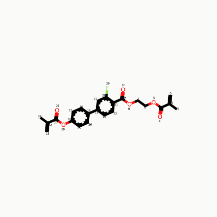 C=C(C)C(=O)OCCOC(=O)c1ccc(-c2ccc(OC(=O)C(=C)C)cc2)cc1F